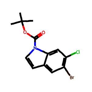 CC(C)(C)OC(=O)n1ccc2cc(Br)c(Cl)cc21